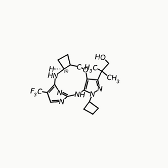 CC(C)(CO)c1nn(C2CCC2)c2c1OCC1CC[C@@H]1Nc1nc(ncc1C(F)(F)F)N2